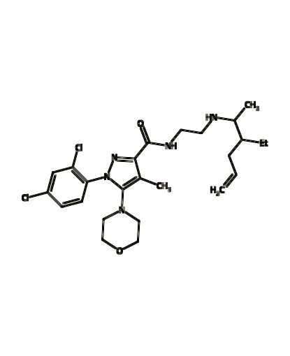 C=CCC(CC)C(C)NCCNC(=O)c1nn(-c2ccc(Cl)cc2Cl)c(N2CCOCC2)c1C